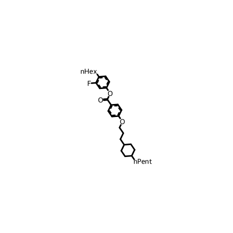 CCCCCCc1ccc(OC(=O)c2ccc(OCCCC3CCC(CCCCC)CC3)cc2)cc1F